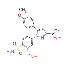 COc1ccc(-c2cc(-c3ccco3)nn2-c2ccc(S(N)(=O)=O)c(CO)c2)cc1